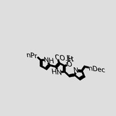 CCCCCCCCCCCC1=NC(=Cc2[nH]c(-c3ccc(CCC)[nH]3)c(C(=O)O)c2OCC)C=C1